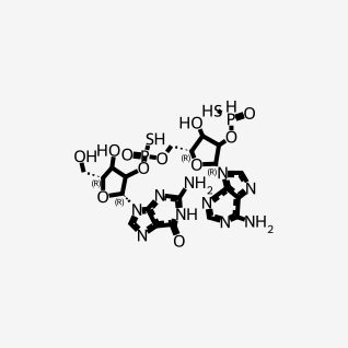 Nc1nc2c(ncn2[C@@H]2O[C@H](CO)C(O)C2OP(=O)(S)OC[C@H]2O[C@@H](n3cnc4c(N)ncnc43)C(O[PH](=O)S)C2O)c(=O)[nH]1